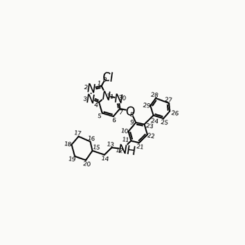 Clc1nnc2ccc(Oc3cc(NCCC4CCCCC4)ccc3-c3ccccc3)nn12